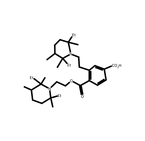 CCC1(C)CCC(C)C(C)(CC)N1CCOC(=O)c1ccc(C(=O)O)cc1CCN1C(C)(CC)CCC(C)C1(C)CC